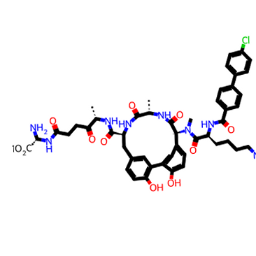 C[C@H](NC(=O)[C@@H]1Cc2ccc(O)c(c2)-c2cc(ccc2O)[C@H](N(C)C(=O)[C@H](CCCCN)NC(=O)c2ccc(-c3ccc(Cl)cc3)cc2)C(=O)N[C@@H](C)C(=O)N1)C(=O)CCC(=O)N[C@@H](N)C(=O)O